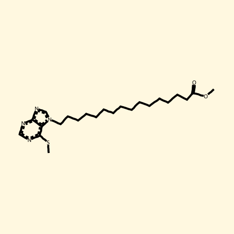 COC(=O)CCCCCCCCCCCCCCCn1cnc2ncnc(SC)c21